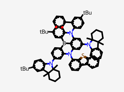 CC(C)(C)c1ccc2c(c1)B1c3ccc(N4c5ccc(C(C)(C)C)cc5C5(C)CCCCC45C)cc3N(c3cccc4c3sc3ccccc34)c3cc(N4c5ccccc5C5(C)CCCCC45C)cc(c31)N2c1ccc(C(C)(C)C)cc1-c1ccccc1